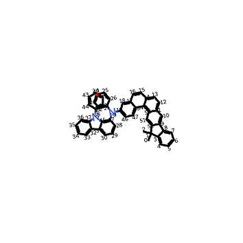 CC1(C)c2ccccc2-c2cc3ccc4ccc5cc(N(c6ccccc6)c6cccc7c8ccccc8n(-c8ccccc8)c67)ccc5c4c3cc21